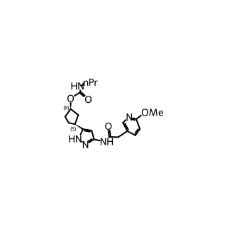 CCCNC(=O)O[C@@H]1CC[C@H](c2cc(NC(=O)Cc3ccc(OC)nc3)n[nH]2)C1